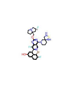 Oc1cc(-c2ncc3c(N4CCCC5(CNSN5)C4)nc(OC[C@@]45CCCN4C[C@H](F)C5)nc3c2F)c2c(Br)c(F)ccc2c1